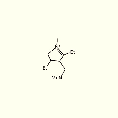 CCC1=[N+](I)CC(CC)C1CNC